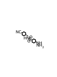 N#Cc1ccc(CNS(=O)(=O)c2ccc(NN)cc2)cc1